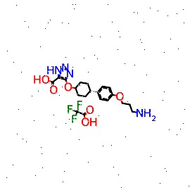 NCCCOc1ccc([C@H]2CC[C@H](Oc3nn[nH]c3C(=O)O)CC2)cc1.O=C(O)C(F)(F)F